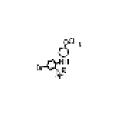 CO[C@H]1CC[C@H](Nc2ccc(Br)cc2[N+](=O)[O-])CC1